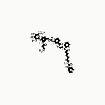 CN(CCON(C(=O)CCCCCCNC(=O)Nc1ccncc1)C1CCCCC1)C(=O)c1cccc(NC(=O)OCc2ccc(O[C@@H]3O[C@H](C(=O)O)[C@@H](O)[C@H](O)[C@H]3O)c(NC(=O)CCN)c2)c1